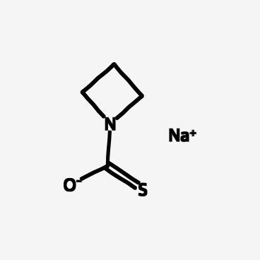 [Na+].[O-]C(=S)N1CCC1